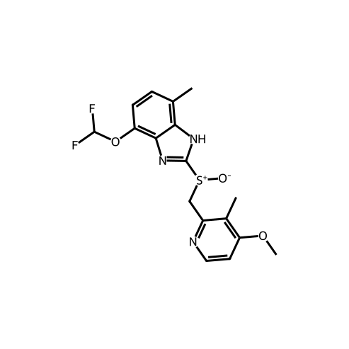 COc1ccnc(C[S+]([O-])c2nc3c(OC(F)F)ccc(C)c3[nH]2)c1C